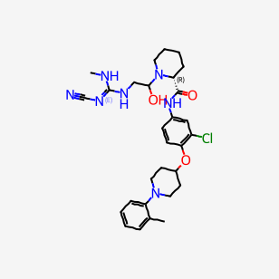 CN/C(=N\C#N)NCC(O)N1CCCC[C@@H]1C(=O)Nc1ccc(OC2CCN(c3ccccc3C)CC2)c(Cl)c1